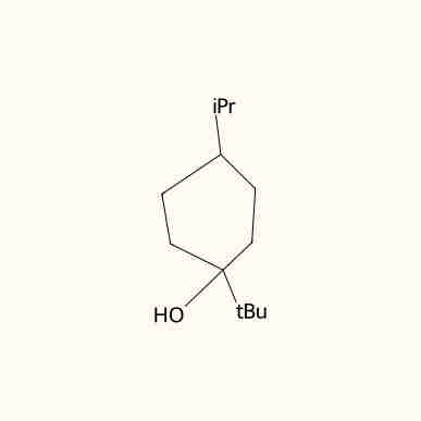 CC(C)C1CCC(O)(C(C)(C)C)CC1